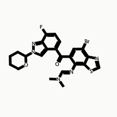 CN(C)/C=N/c1c(C(=O)c2ccc(F)c3nn(C4CCCCO4)cc23)cc(Br)c2ncsc12